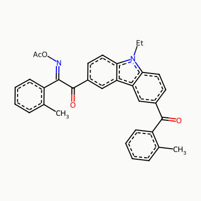 CCn1c2ccc(C(=O)C(=NOC(C)=O)c3ccccc3C)cc2c2cc(C(=O)c3ccccc3C)ccc21